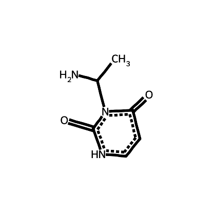 CC(N)n1c(=O)cc[nH]c1=O